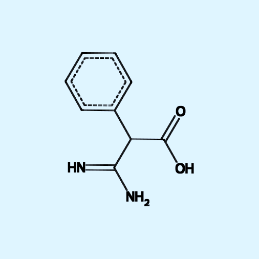 N=C(N)C(C(=O)O)c1ccccc1